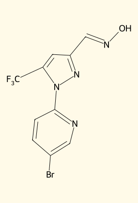 ON=Cc1cc(C(F)(F)F)n(-c2ccc(Br)cn2)n1